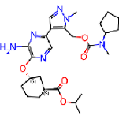 CC(C)OC(=O)[C@H]1CCC[C@H](Oc2ncc(-c3cnn(C)c3COC(=O)N(C)C3CCCC3)nc2N)C1